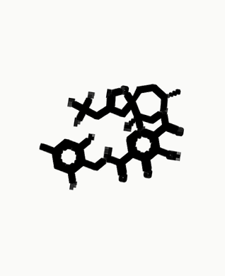 Cc1cc(F)c(CNC(=O)c2cn3c(c(O)c2=O)C(=O)N2C[C@@H]3[C@]3(CC[C@@H]2C)CC(CC(F)(F)F)=NO3)c(F)c1